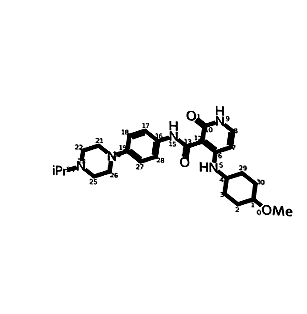 COC1CCC(Nc2cc[nH]c(=O)c2C(=O)Nc2ccc(N3CCN(C(C)C)CC3)cc2)CC1